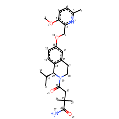 COc1ccc(C)nc1COc1ccc2c(c1)CCN(C(=O)CC(C)(C)C(N)=O)[C@H]2C(C)C